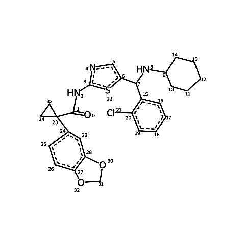 O=C(Nc1ncc(C(NC2CCCCC2)c2ccccc2Cl)s1)C1(c2ccc3c(c2)OCO3)CC1